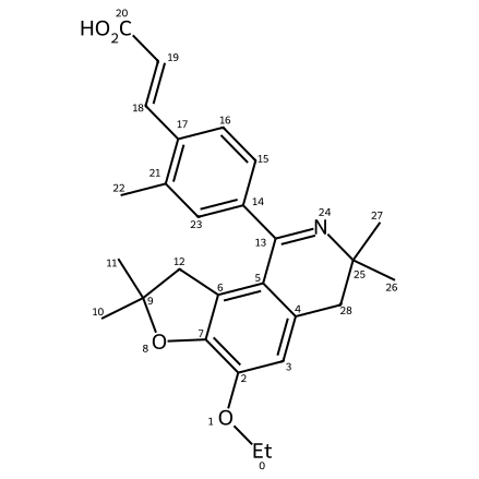 CCOc1cc2c(c3c1OC(C)(C)C3)C(c1ccc(C=CC(=O)O)c(C)c1)=NC(C)(C)C2